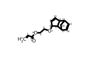 C=CC(=O)OCCOC1C=CC2C3C=CC(C3)C12